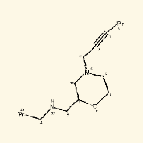 CC(C)C#CCN1CCOC(CNCC(C)C)C1